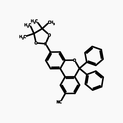 CC1(C)OB(c2ccc3c(c2)OC(c2ccccc2)(c2ccccc2)c2ccc(C#N)cc2-3)OC1(C)C